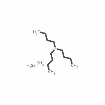 CCCCP(CCCC)CCCC.S.[SeH2]